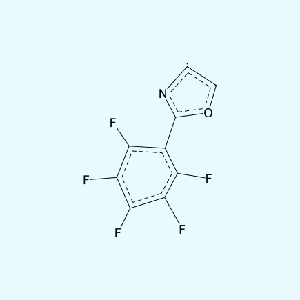 Fc1c(F)c(F)c(-c2n[c]co2)c(F)c1F